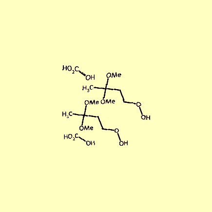 COC(C)(CCOO)OC.COC(C)(CCOO)OC.O=C(O)O.O=C(O)O